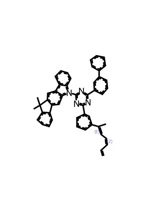 C=C/C=C\C=C(/C)c1cccc(-c2nc(-c3cccc(-c4ccccc4)c3)nc(-n3c4ccccc4c4cc5c(cc43)-c3ccccc3C5(C)C)n2)c1